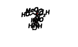 COc1cccc(C(=O)N[C@H]2C[C@H]3CC[C@@H](C2)N3c2ccc(C(=O)O)cn2)c1CCCO